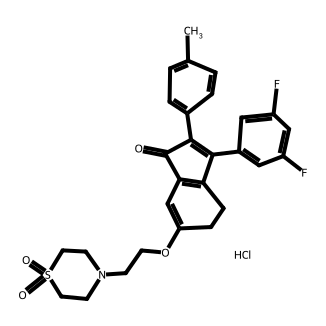 Cc1ccc(C2=C(c3cc(F)cc(F)c3)C3=C(C=C(OCCN4CCS(=O)(=O)CC4)CC3)C2=O)cc1.Cl